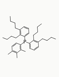 CCCCc1cccc(P(c2ccc(C)c(C)c2C)c2cccc(CCCC)c2CCCC)c1CCCC